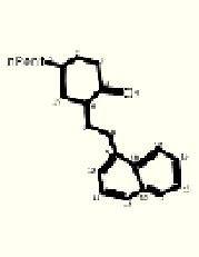 CCCCCC1CCC(=O)C(CCc2cccc3ccccc23)C1